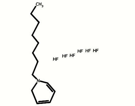 CCCCCCCCN1C=CC=CC1.F.F.F.F.F.F